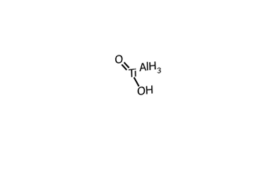 [AlH3].[O]=[Ti][OH]